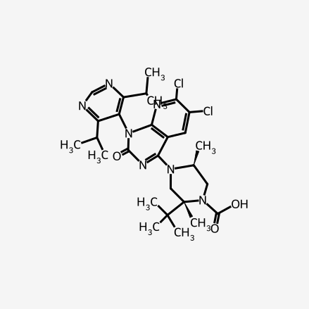 CC(C)c1ncnc(C(C)C)c1-n1c(=O)nc(N2C[C@@](C)(C(C)(C)C)N(C(=O)O)C[C@@H]2C)c2cc(Cl)c(Cl)nc21